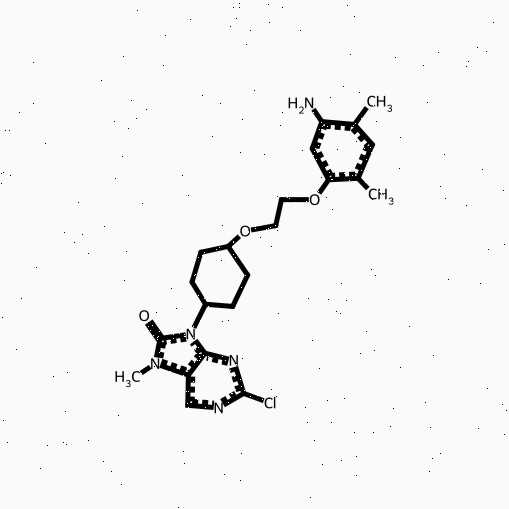 Cc1cc(C)c(OCCOC2CCC(n3c(=O)n(C)c4cnc(Cl)nc43)CC2)cc1N